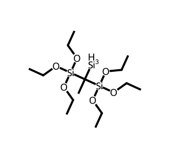 CCO[Si](OCC)(OCC)C(C)([SiH3])[Si](OCC)(OCC)OCC